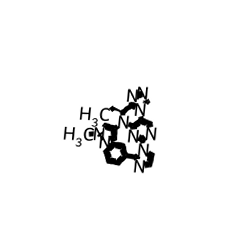 CC[C@H]1c2nncn2-c2cnc(-n3ccnc3-c3ccccc3)nc2N1c1cnn(C)c1